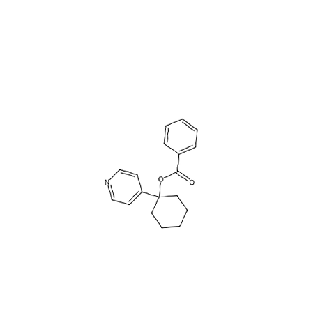 O=C(OC1(c2ccncc2)CCCCC1)c1ccccc1